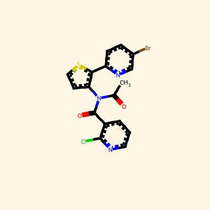 CC(=O)N(C(=O)c1cccnc1Cl)c1ccsc1-c1ccc(Br)cn1